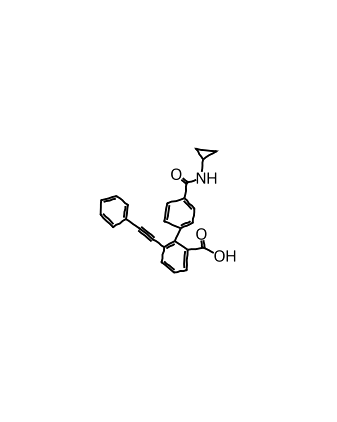 O=C(NC1CC1)c1ccc(-c2c(C#Cc3ccccc3)cccc2C(=O)O)cc1